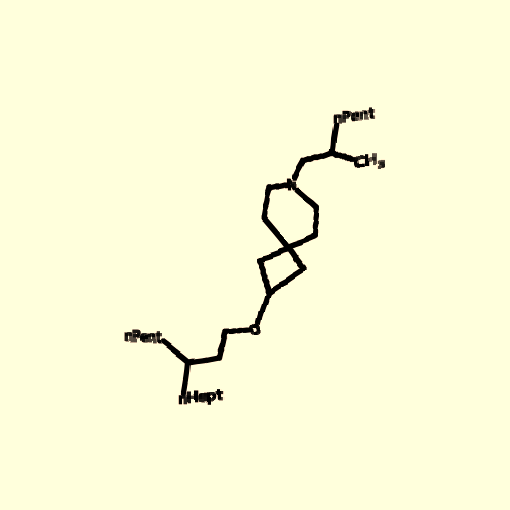 CCCCCCCC(CCCCC)CCOC1CC2(CCN(CC(C)CCCCC)CC2)C1